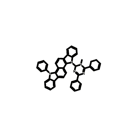 CN1C(C2=CC=CCC2)=NC(c2ccccc2)=NC1n1c2ccccc2c2ccc3c(ccc4c5ccccc5n(-c5ccccc5)c43)c21